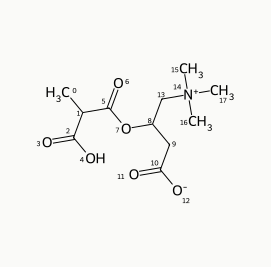 CC(C(=O)O)C(=O)OC(CC(=O)[O-])C[N+](C)(C)C